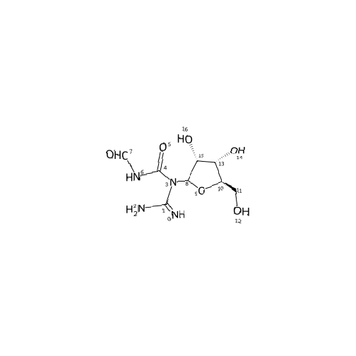 N=C(N)N(C(=O)NC=O)C1O[C@H](CO)[C@@H](O)[C@H]1O